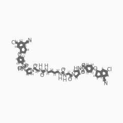 N#Cc1cc(Cl)cc2c1CC[C@H]2Oc1ccc(S(=O)(=O)N[C@H]2CCN(C(=O)CNC(=O)NCCCCNC(=O)NCC(=O)N3CC[C@H](NS(=O)(=O)c4ccc(O[C@@H]5CCc6c(C#N)cc(Cl)cc65)cc4)C3)C2)cc1